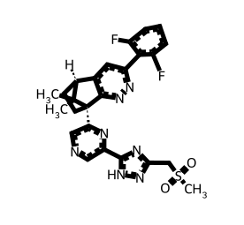 CC1(C)[C@H]2CC[C@]1(c1cncc(-c3nc(CS(C)(=O)=O)n[nH]3)n1)c1nnc(-c3c(F)cccc3F)cc12